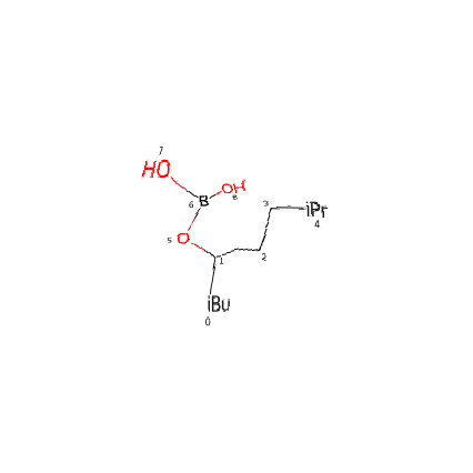 CCC(C)C(CCC(C)C)OB(O)O